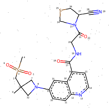 CC1(CS(C)(=O)=O)CN(c2ccc3nccc(C(=O)NCC(=O)N4CSCC4C#N)c3c2)C1